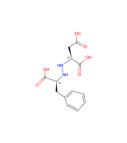 O=C(O)C[C@H](NN[C@@H](Cc1ccccc1)C(=O)O)C(=O)O